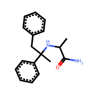 CC(NC(C)(Cc1ccccc1)c1ccccc1)C(N)=O